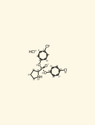 Cl.O=P(Oc1ccc(Cl)cc1)(Oc1ccc(Cl)cc1)C1CCCN1